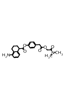 CN(C)C(=O)COC(=O)Cc1ccc(OC(=O)C2CCCc3c(N)cccc32)cc1